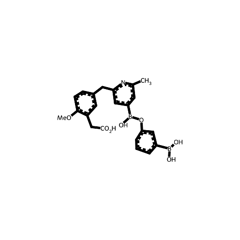 COc1ccc(Cc2cc(B(O)Oc3cccc(B(O)O)c3)cc(C)n2)cc1CC(=O)O